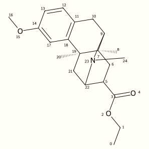 CCOC(=O)C1C[C@]2(C)C3Cc4ccc(OC)cc4[C@]2(C)CC1N3C